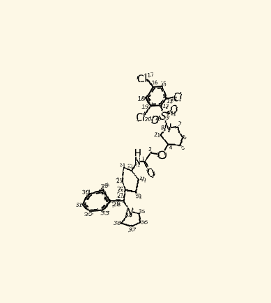 O=C(COC1CCCN(S(=O)(=O)c2c(Cl)cc(Cl)cc2Cl)C1)NC1CCC(C(c2ccccc2)N2CCCC2)CC1